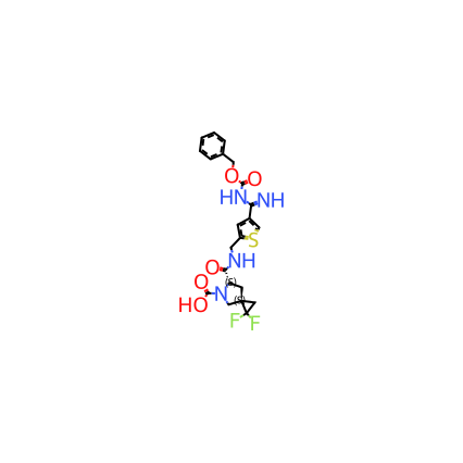 N=C(NC(=O)OCc1ccccc1)c1csc(CNC(=O)[C@@H]2C[C@@]3(CN2C(=O)O)CC3(F)F)c1